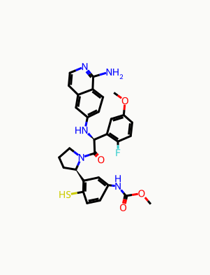 COC(=O)Nc1ccc(S)c([C@H]2CCCN2C(=O)[C@@H](Nc2ccc3c(N)nccc3c2)c2cc(OC)ccc2F)c1